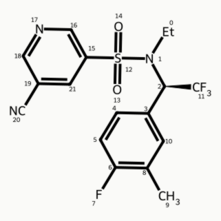 CCN([C@H](c1ccc(F)c(C)c1)C(F)(F)F)S(=O)(=O)c1cncc(C#N)c1